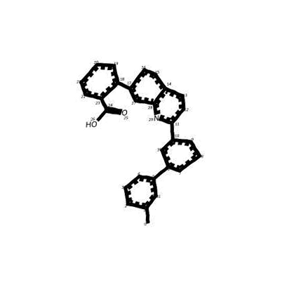 Cc1cccc(-c2cccc(-c3ccc4ccc(-c5ccccc5C(=O)O)cc4n3)c2)c1